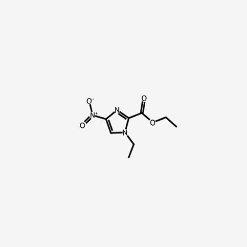 CCOC(=O)c1nc([N+](=O)[O-])cn1CC